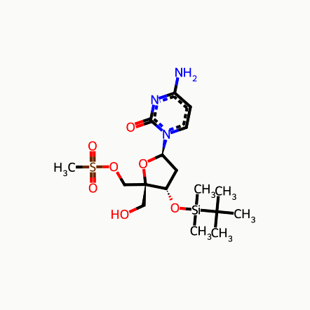 CC(C)(C)[Si](C)(C)O[C@H]1C[C@H](n2ccc(N)nc2=O)O[C@@]1(CO)COS(C)(=O)=O